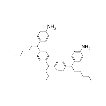 CCCCCC(c1ccc(N)cc1)c1ccc(C(CCC)c2ccc(C(CCCCC)c3ccc(N)cc3)cc2)cc1